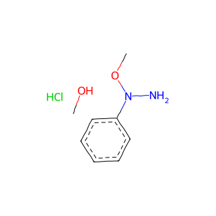 CO.CON(N)c1ccccc1.Cl